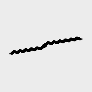 [CH2]CCCCCCCCCCC#CCCCCCCCCCCC[CH2]